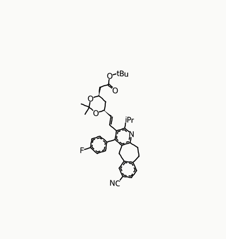 CC(C)c1nc2c(c(-c3ccc(F)cc3)c1/C=C/[C@@H]1C[C@H](CC(=O)OC(C)(C)C)OC(C)(C)O1)Cc1cc(C#N)ccc1CC2